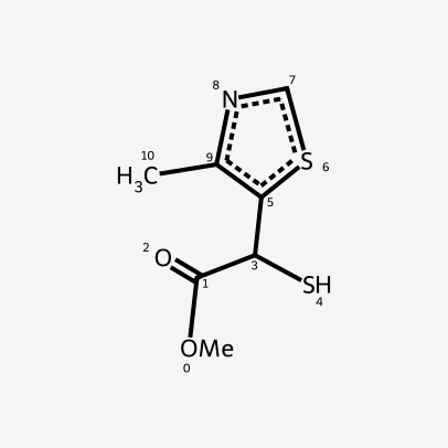 COC(=O)C(S)c1scnc1C